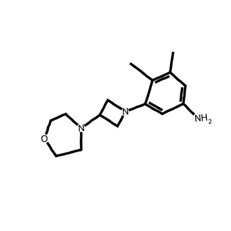 Cc1cc(N)cc(N2CC(N3CCOCC3)C2)c1C